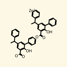 CC(c1ccccc1)c1cc(C(=O)[O-])c(O)c(-c2ccccc2)c1.CC(c1ccccc1)c1cc(C(=O)[O-])c(O)c(-c2ccccc2)c1.[Zn+2]